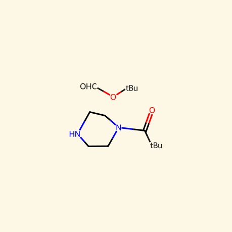 CC(C)(C)C(=O)N1CCNCC1.CC(C)(C)OC=O